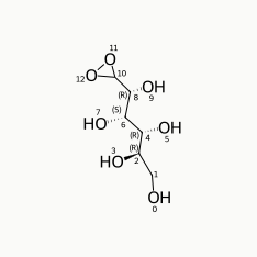 OC[C@@H](O)[C@@H](O)[C@H](O)[C@@H](O)C1OO1